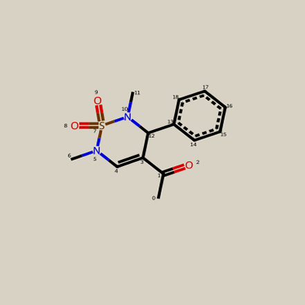 CC(=O)C1=CN(C)S(=O)(=O)N(C)C1c1ccccc1